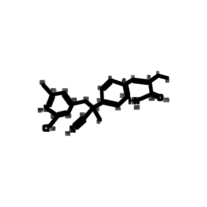 CCc1cc2ccc(C(C)(C#N)Cc3cc(C)nc(Cl)c3)cc2[nH]c1=O